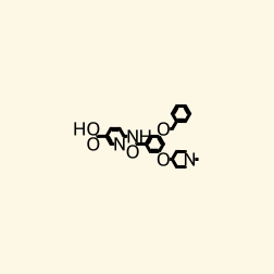 CN1CCC(Oc2cc(OCc3ccccc3)cc(C(=O)Nc3ccc(C(=O)O)cn3)c2)CC1